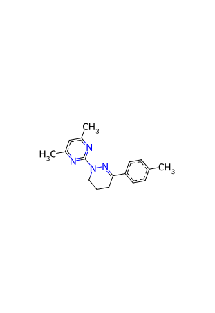 Cc1ccc(C2=NN(c3nc(C)cc(C)n3)CCC2)cc1